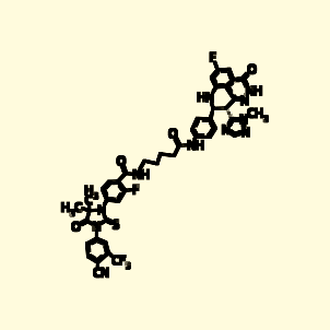 Cn1ncnc1[C@H]1c2n[nH]c(=O)c3cc(F)cc(c23)N[C@@H]1c1ccc(NC(=O)CCCCNC(=O)c2ccc(N3C(=S)N(c4ccc(C#N)c(C(F)(F)F)c4)C(=O)C3(C)C)cc2F)cc1